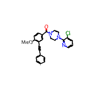 COc1ccc(C(=O)N2CCN(c3ncccc3Cl)CC2)cc1C#Cc1cc[c]cc1